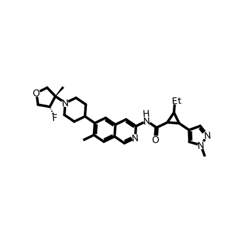 CCC1C(C(=O)Nc2cc3cc(C4CCN([C@@]5(C)COC[C@H]5F)CC4)c(C)cc3cn2)C1c1cnn(C)c1